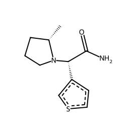 C[C@H]1CCCN1[C@H](C(N)=O)c1ccsc1